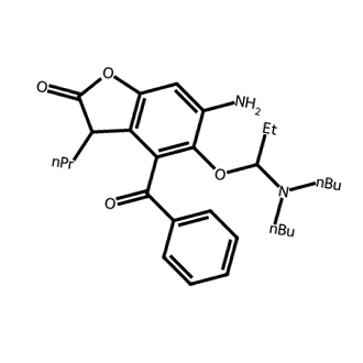 CCCCN(CCCC)C(CC)Oc1c(N)cc2c(c1C(=O)c1ccccc1)C(CCC)C(=O)O2